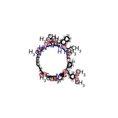 CCCC[C@H]1C(=O)N[C@@H](Cc2ccc3ccccc3c2)C(=O)N(C)[C@@H](COC(C)(C)C)C(=O)NCC(=O)N(C)CCCCC/C=C/C(=O)OCC(C)(C)C(=O)C(=O)N2CCCC[C@H]2C(=O)O[C@H](CCc2ccc(OC)c(OC)c2)c2ccc(F)c(c2)OCC(=O)N1C